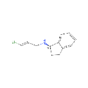 ClC=CCN[C@@H]1CCc2ccccc21